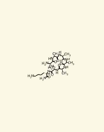 C[C@H](N)C(=O)N[C@@H](C)C(=O)N[C@@H](C)C(=O)N[C@@H](C)C(=O)N[C@@H](C)C(=O)N[C@@H](C)C(=O)N[C@@H](CCCCN)C(N)=O